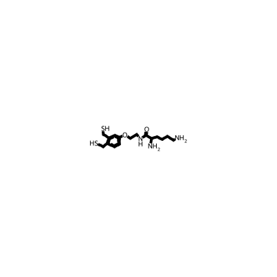 NCCCCC(N)C(=O)NCCOc1ccc(CS)c(CS)c1